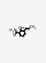 C/C=C/c1cccc(C(N)=O)c1O